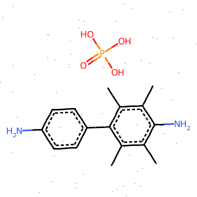 Cc1c(C)c(-c2ccc(N)cc2)c(C)c(C)c1N.O=P(O)(O)O